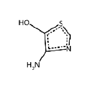 Nc1ncsc1O